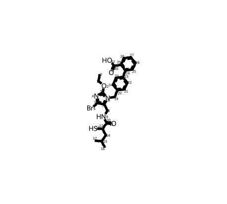 CCOc1nc(Br)c(CNC(=O)C(S)CC(C)C)n1Cc1ccc(-c2ccccc2C(=O)O)cc1